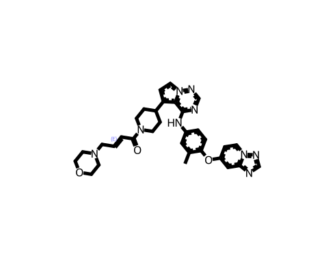 Cc1cc(Nc2ncnn3ccc(C4CCN(C(=O)/C=C/CN5CCOCC5)CC4)c23)ccc1Oc1ccn2ncnc2c1